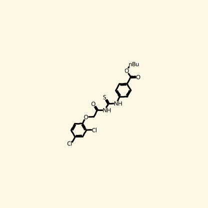 CCCCOC(=O)c1ccc(NC(=S)NC(=O)COc2ccc(Cl)cc2Cl)cc1